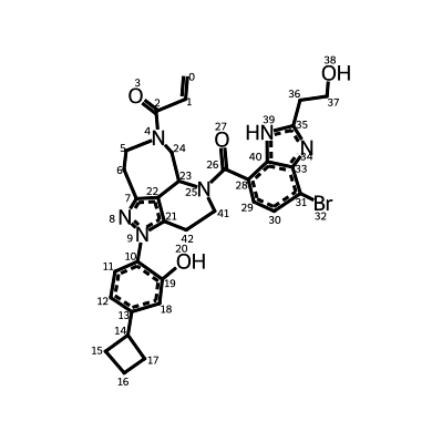 C=CC(=O)N1CCc2nn(-c3ccc(C4CCC4)cc3O)c3c2C(C1)N(C(=O)c1ccc(Br)c2nc(CCO)[nH]c12)CC3